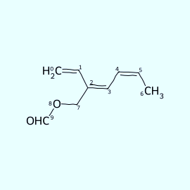 C=C/C(=C\C=C/C)COC=O